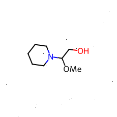 COC(CO)N1CCCCC1